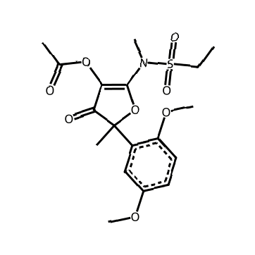 CCS(=O)(=O)N(C)C1=C(OC(C)=O)C(=O)C(C)(c2cc(OC)ccc2OC)O1